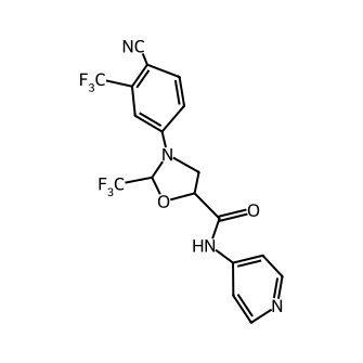 N#Cc1ccc(N2CC(C(=O)Nc3ccncc3)OC2C(F)(F)F)cc1C(F)(F)F